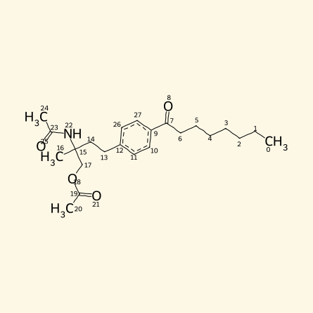 CCCCCCCC(=O)c1ccc(CCC(C)(COC(C)=O)NC(C)=O)cc1